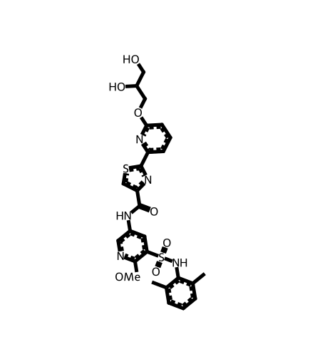 COc1ncc(NC(=O)c2csc(-c3cccc(OCC(O)CO)n3)n2)cc1S(=O)(=O)Nc1c(C)cccc1C